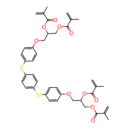 C=C(C)C(=O)OCC(COc1ccc(Sc2ccc(Sc3ccc(OCC(COC(=O)C(=C)C)OC(=O)C(=C)C)cc3)cc2)cc1)OC(=O)C(=C)C